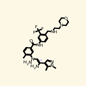 Cc1ccc(C(=O)Nc2ccc(CNCCN3CCOCC3)c(C(F)(F)F)c2)cc1N(N)/C=C(\N)c1cnn(C)c1C